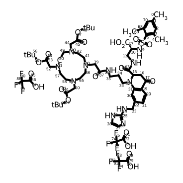 Cc1cc(C)c(S(=O)(=O)N[C@@H](CNC(=O)C2CC(=O)c3ccc(CNc4ncc[nH]4)cc3N2CCCNC(=O)CN2CCN(CC(=O)OC(C)(C)C)CCN(CC(=O)OC(C)(C)C)CCN(CC(=O)OC(C)(C)C)CC2)C(=O)O)c(C)c1.O=C(O)C(F)(F)F.O=C(O)C(F)(F)F.O=C(O)C(F)(F)F